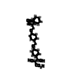 CON=C(COc1ccc(COc2ccc(C(O)C(O)C(=O)O)cc2)cc1)c1ccccc1